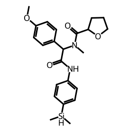 COc1ccc(C(C(=O)Nc2ccc([SiH](C)C)cc2)N(C)C(=O)C2CCCO2)cc1